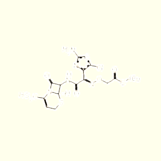 CC(C)(C)OC(=O)CO/N=C(/C(=O)NC1C(=O)N2C(C(=O)O)=CCS[C@H]12)c1nc(N)sc1Cl